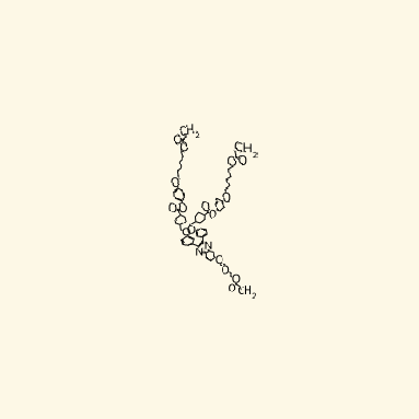 C=CC(=O)OCCCCCCOc1ccc(OC(=O)C2CCC(COc3cccc(-c4nc5ccc(OCCOCCOC(=O)C=C)cc5nc4-c4cccc(OCC5CCC(C(=O)Oc6ccc(OCCCCCCOC(=O)C=C)cc6)CC5)c4)c3)CC2)cc1